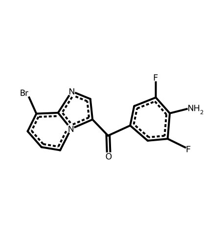 Nc1c(F)cc(C(=O)c2cnc3c(Br)cccn23)cc1F